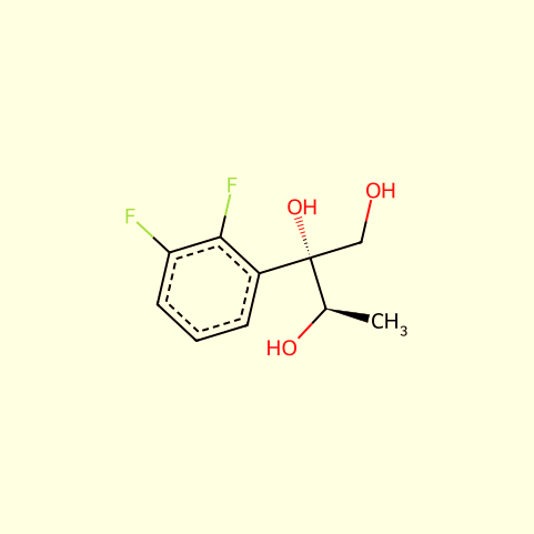 C[C@@H](O)[C@](O)(CO)c1cccc(F)c1F